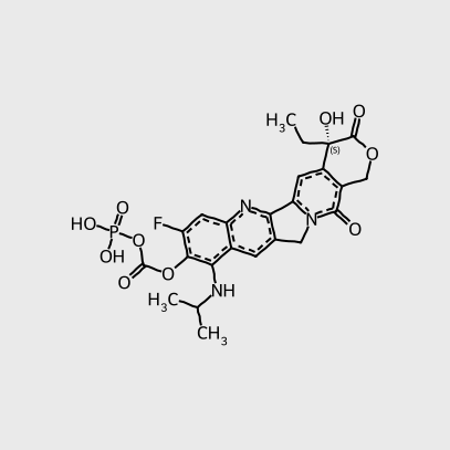 CC[C@@]1(O)C(=O)OCc2c1cc1n(c2=O)Cc2cc3c(NC(C)C)c(OC(=O)OP(=O)(O)O)c(F)cc3nc2-1